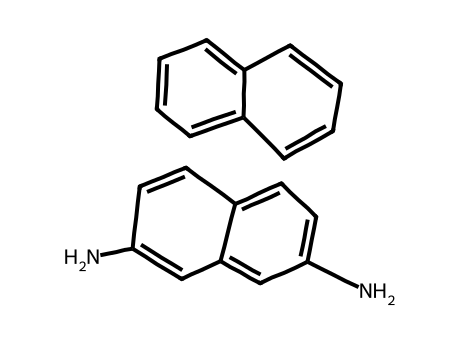 Nc1ccc2ccc(N)cc2c1.c1ccc2ccccc2c1